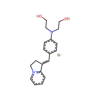 OCCN(CCO)c1ccc(C=C2CC[n+]3ccccc32)cc1.[Br-]